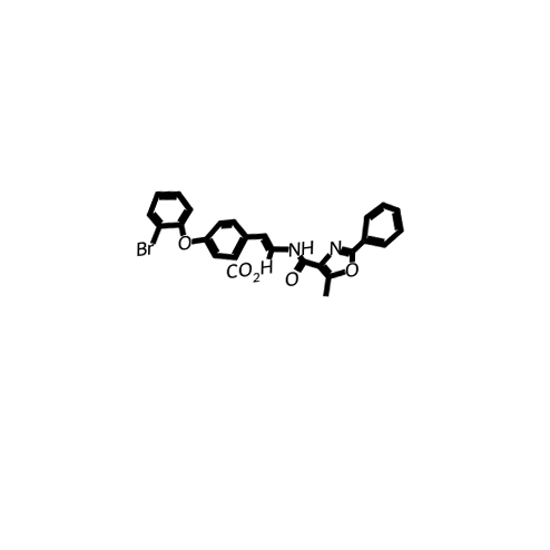 Cc1oc(-c2ccccc2)nc1C(=O)N/C(=C/c1ccc(Oc2ccccc2Br)cc1)C(=O)O